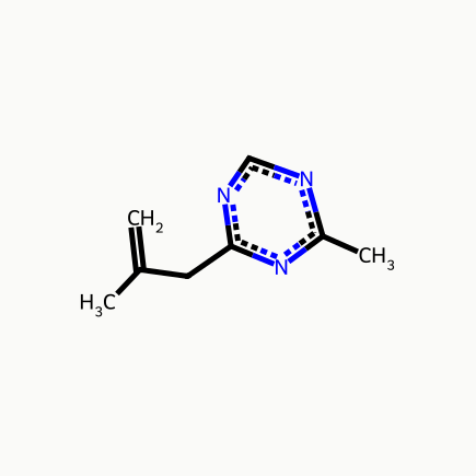 C=C(C)Cc1ncnc(C)n1